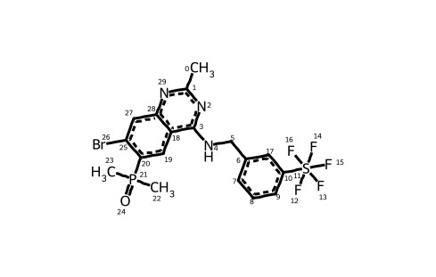 Cc1nc(NCc2cccc(S(F)(F)(F)(F)F)c2)c2cc(P(C)(C)=O)c(Br)cc2n1